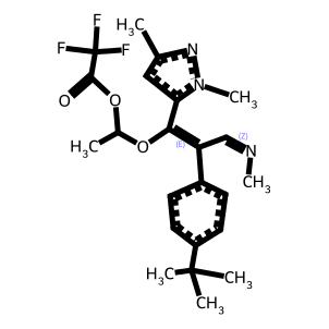 C/N=C\C(=C(\OC(C)OC(=O)C(F)(F)F)c1cc(C)nn1C)c1ccc(C(C)(C)C)cc1